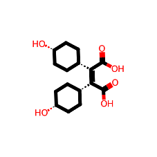 O=C(O)/C(=C(\C(=O)O)[C@H]1CC[C@@H](O)CC1)[C@H]1CC[C@@H](O)CC1